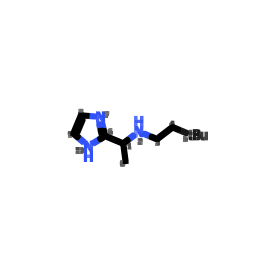 CC(NCCC(C)(C)C)c1ncc[nH]1